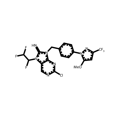 COc1cc(C(F)(F)F)nn1-c1ccc(Cn2c(=N)n(C(F)C(F)F)c3cnc(Cl)nc32)cc1